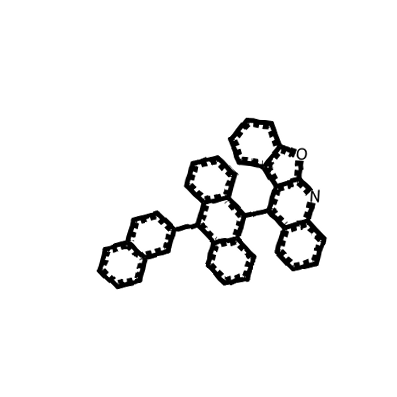 c1ccc2cc(-c3c4ccccc4c(-c4c5ccccc5nc5oc6ccccc6c45)c4ccccc34)ccc2c1